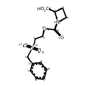 O=C(O)C1CCN1C(=O)OCCS(=O)(=O)Cc1ccccc1